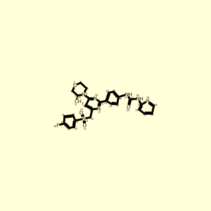 C[C@H]1COCCN1c1cc(CS(=O)(=O)c2ccc(F)cc2)nc(-c2ccc(NC(=O)Nc3ccccn3)cc2)n1